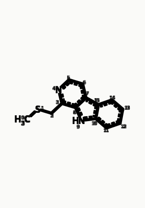 CSCc1nccc2c1[nH]c1ccccc12